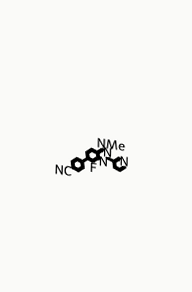 CNc1nc(-c2cccnc2)nc2c(F)c(-c3ccc(C#N)cc3)ccc12